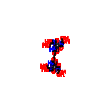 CN(CC(O)CO)C(=O)c1c(I)c(NC(=O)OCCCOC(=O)Nc2c(I)c(C(=O)N(C)CC(O)CO)c(I)c(C(=O)N(C)CC(O)CO)c2I)c(I)c(C(=O)N(C)CC(O)CO)c1I